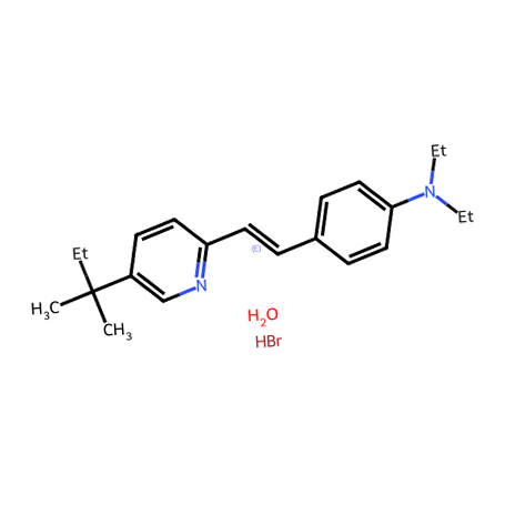 Br.CCN(CC)c1ccc(/C=C/c2ccc(C(C)(C)CC)cn2)cc1.O